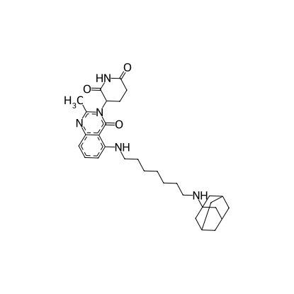 Cc1nc2cccc(NCCCCCCCNC34CC5CC(CC(C5)C3)C4)c2c(=O)n1C1CCC(=O)NC1=O